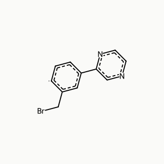 BrCc1[c]ccc(-c2cnccn2)c1